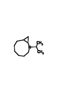 CC(C)N1CCCCCCC2CC21